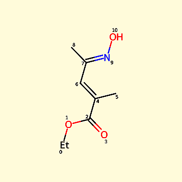 CCOC(=O)C(C)=CC(C)=NO